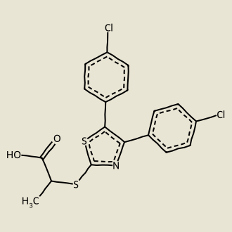 CC(Sc1nc(-c2ccc(Cl)cc2)c(-c2ccc(Cl)cc2)s1)C(=O)O